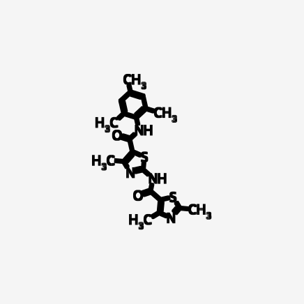 Cc1cc(C)c(NC(=O)c2sc(NC(=O)c3sc(C)nc3C)nc2C)c(C)c1